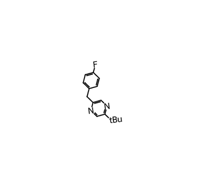 CC(C)(C)c1cnc(Cc2ccc(F)cc2)cn1